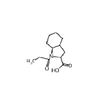 CCC(=O)N1C(C(=O)O)CC2CCCCC21